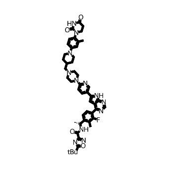 Cc1cc(N2CCC(CN3CCN(c4ccc(-c5cc6c(-c7ccc([C@@H](C)NC(=O)c8noc(C(C)(C)C)n8)c(C)c7F)ncnc6[nH]5)cn4)CC3)CC2)ccc1N1CCC(=O)NC1=O